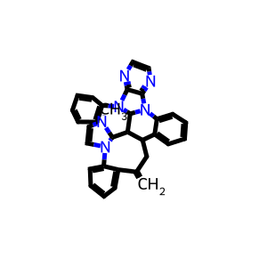 C=C1CC2c3ccccc3N3c4nccnc4N(c4ccccc4)C3C2C2N(C)C=CN2c2ccccc21